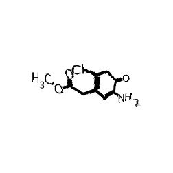 COC(=O)CC1=C(Cl)CC(=O)C(N)=C1